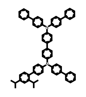 CC(C)c1ccc(-c2ccc(N(c3ccc(-c4ccccc4)cc3)c3ccc(-c4ccc(N(c5ccc(-c6ccccc6)cc5)c5ccc(-c6ccccc6)cc5)cc4)cc3)cc2)c(C(C)C)c1